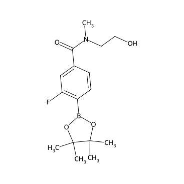 CN(CCO)C(=O)c1ccc(B2OC(C)(C)C(C)(C)O2)c(F)c1